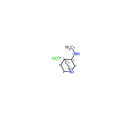 CNC1CN2CCC1CC2.Cl